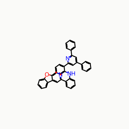 c1ccc(-c2cc(-c3ccccc3)nc(-c3ccccc3Nc3ccccc3-c3cc4c(cn3)oc3ccccc34)c2)cc1